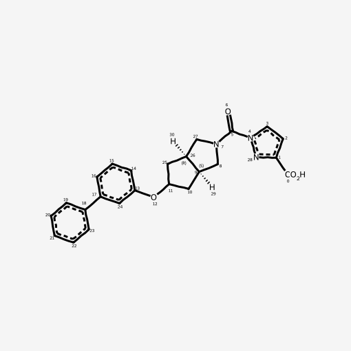 O=C(O)c1ccn(C(=O)N2C[C@H]3CC(Oc4cccc(-c5ccccc5)c4)C[C@H]3C2)n1